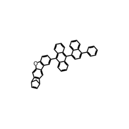 C1=CC2CC1c1cc3oc4ccc(-c5c6ccccc6c(-c6ccc(-c7ccccc7)c7ccccc67)c6ccccc56)cc4c3cc12